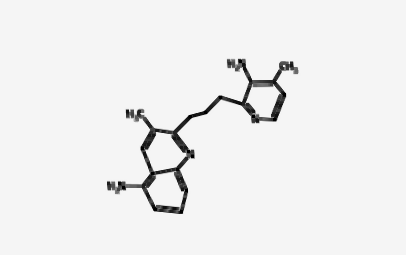 Cc1cc2c(N)cccc2nc1CCCc1nccc(C)c1N